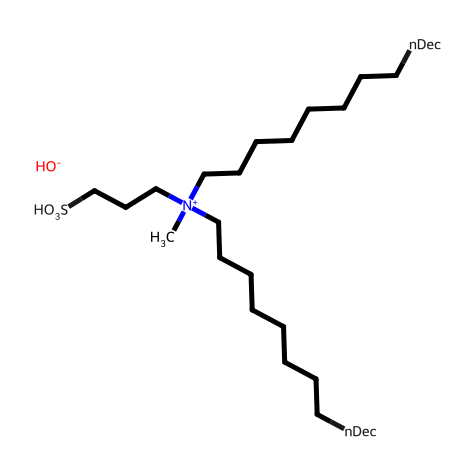 CCCCCCCCCCCCCCCCCC[N+](C)(CCCCCCCCCCCCCCCCCC)CCCS(=O)(=O)O.[OH-]